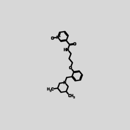 CC1CC(C)CN(Cc2ccccc2OCCCNC(=O)c2ccc[n+]([O-])c2)C1